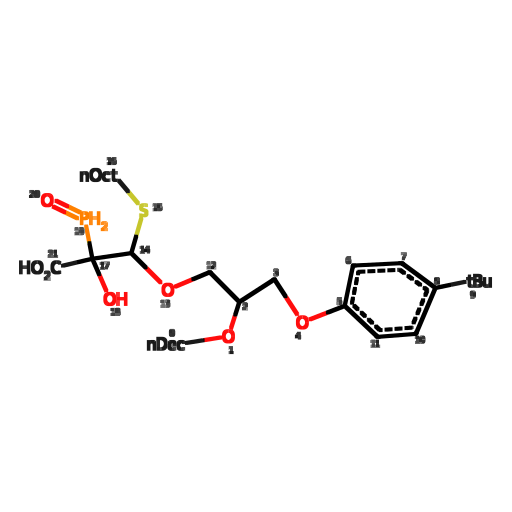 CCCCCCCCCCOC(COc1ccc(C(C)(C)C)cc1)COC(SCCCCCCCC)C(O)([PH2]=O)C(=O)O